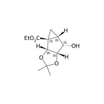 CCOC(=O)[C@@]12C[C@@H]1[C@H](O)[C@@H]1OC(C)(C)O[C@@H]12